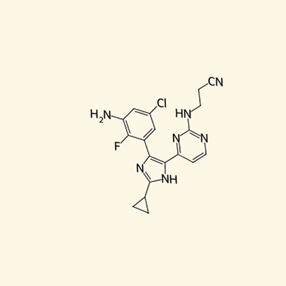 N#CCCNc1nccc(-c2[nH]c(C3CC3)nc2-c2cc(Cl)cc(N)c2F)n1